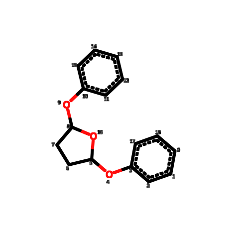 c1ccc(OC2CCC(Oc3ccccc3)O2)cc1